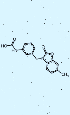 Cc1ccc2c(c1)oc(=O)n2Cc1cccc(NC(=O)O)c1